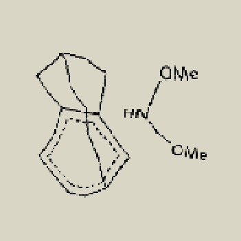 CONOC.c1cc2c3cc1C(C2)C3